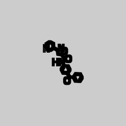 O=C(c1ccccc1)c1ccc(NC(=O)C2CC(c3cccnc3)=NO2)cc1